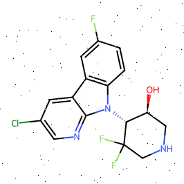 O[C@H]1CNCC(F)(F)[C@@H]1n1c2ccc(F)cc2c2cc(Cl)cnc21